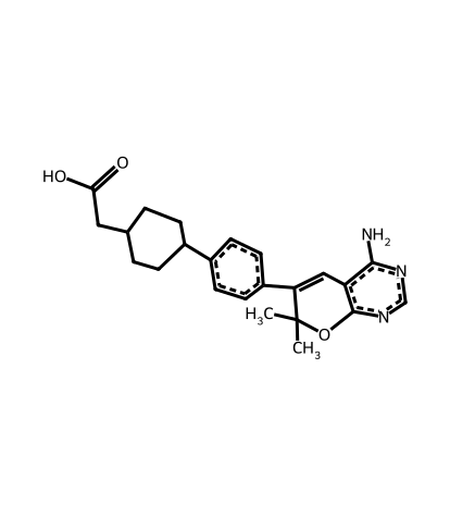 CC1(C)Oc2ncnc(N)c2C=C1c1ccc(C2CCC(CC(=O)O)CC2)cc1